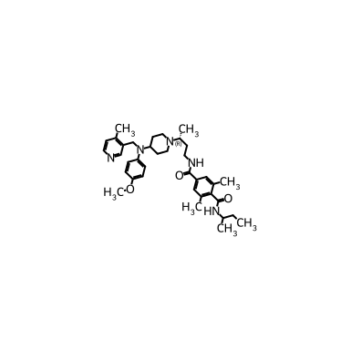 CCC(C)NC(=O)c1c(C)cc(C(=O)NCC[C@@H](C)N2CCC(N(Cc3cnccc3C)c3ccc(OC)cc3)CC2)cc1C